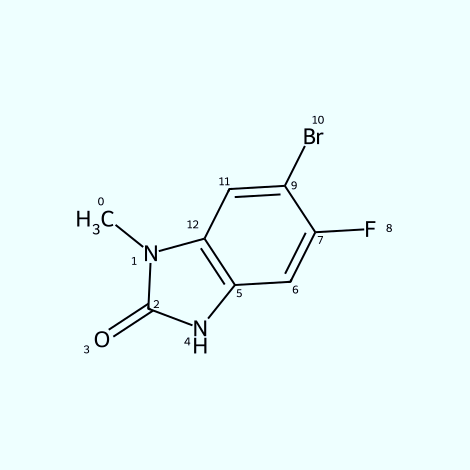 Cn1c(=O)[nH]c2cc(F)c(Br)cc21